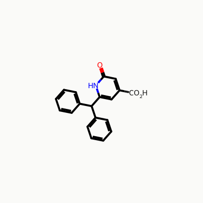 O=C(O)c1cc(C(c2ccccc2)c2ccccc2)[nH]c(=O)c1